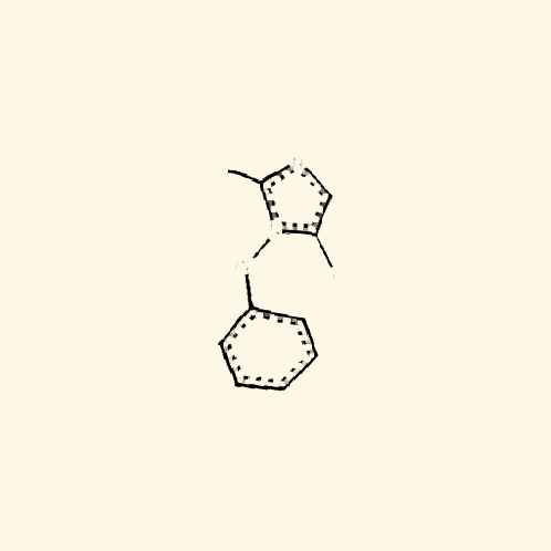 Cc1cnc(C)n1Nc1ccccc1